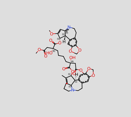 COC(=O)C[C@](O)(CCCC[C@@](O)(CC(=O)OC)C(=O)O[C@@H]1C(OC)=C[C@]23CCCN2CCc2cc4c(cc2[C@H]13)OCO4)C(=O)O[C@@H]1C(C)=C[C@]23CCCN2CCc2cc4c(cc2[C@H]13)OCO4